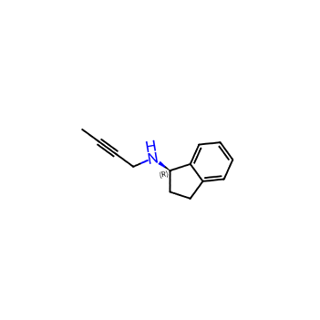 CC#CCN[C@@H]1CCc2ccccc21